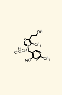 Cc1ncc(C[n+]2csc(CCO)c2C)c(O)n1.Cl.Cl.[Cl-]